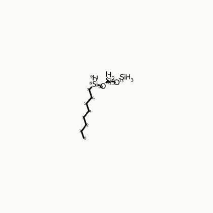 CCCCCCCC[SiH](C)O[SiH2]O[SiH3]